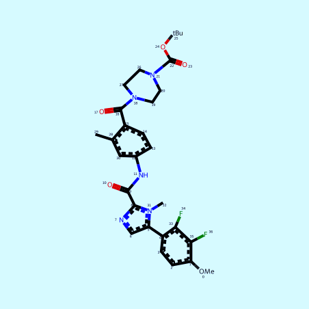 COc1ccc(-c2cnc(C(=O)Nc3ccc(C(=O)N4CCN(C(=O)OC(C)(C)C)CC4)c(C)c3)n2C)c(F)c1F